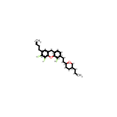 C=CCCc1cc2c(c(F)c1F)Oc1c(ccc(CCC3CCC(CCC)CO3)c1F)C2